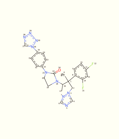 CC(C)C(Cn1cncn1)(c1ccc(F)cc1F)C(C)N1CCN(c2ccc(-n3cnnn3)cc2)C1=O